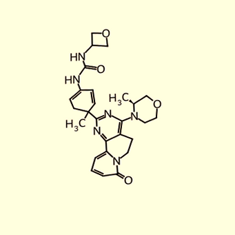 C[C@H]1COCCN1c1nc(C2(C)C=CC(NC(=O)NC3COC3)=CC2)nc2c1CCn1c-2cccc1=O